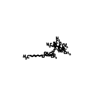 CCCCCCCCOC(=O)CSCC(C)(C)C(=O)OCCOc1c(C2=C(O)C(C3C(C)=C[N+](CC)=C3O)C2=O)c(C)nn1CC